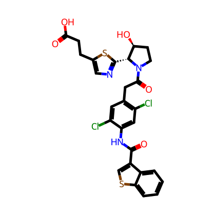 O=C(O)CCc1cnc([C@@H]2[C@@H](O)CCN2C(=O)Cc2cc(Cl)c(NC(=O)c3csc4ccccc34)cc2Cl)s1